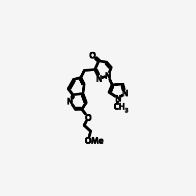 COCCOc1cnc2ccc(Cc3nn(-c4cnn(C)c4)ccc3=O)cc2c1